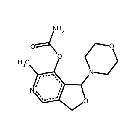 Cc1ncc2c(c1OC(N)=O)C(N1CCOCC1)OC2